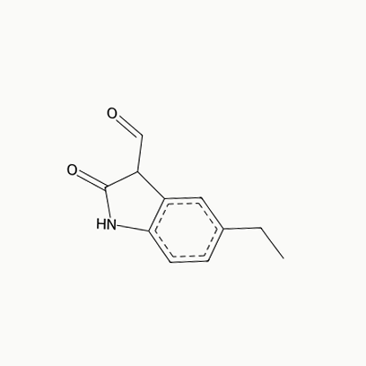 CCc1ccc2c(c1)C(C=O)C(=O)N2